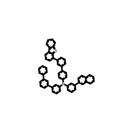 c1ccc(-c2cccc(-c3cccc(N(c4ccc(-c5cccc(-c6cccc7c6sc6ccccc67)c5)cc4)c4cccc(-c5ccc6ccccc6c5)c4)c3)c2)cc1